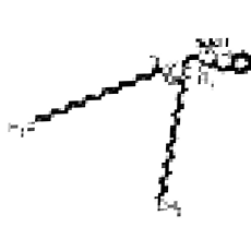 CCCCCCCCCCCCCCCC(=O)OC[C@H](COP(=O)(O)NC(C)Cc1ccccc1)OC(=O)CCCCCCCCCCCCCCC